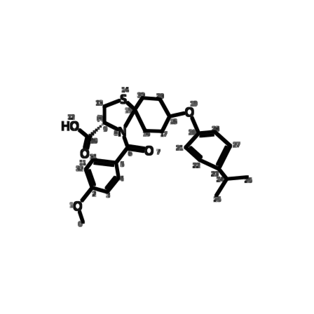 COc1ccc(C(=O)N2[C@H](C(=O)O)CSC23CCC(Oc2ccc(C(C)C)cc2)CC3)cc1